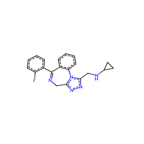 Fc1ccccc1C1=NCc2nnc(CNC3CC3)n2-c2ccccc21